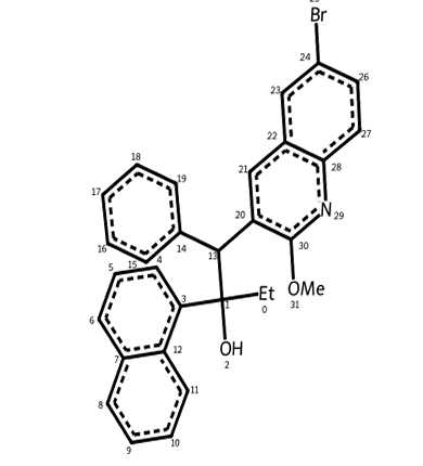 CCC(O)(c1cccc2ccccc12)C(c1ccccc1)c1cc2cc(Br)ccc2nc1OC